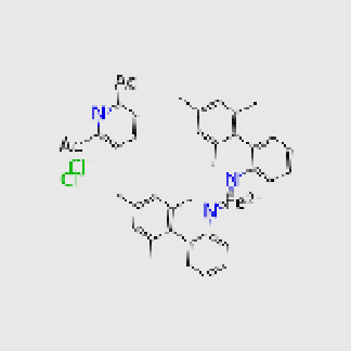 CC(=O)c1cccc(C(C)=O)n1.Cc1cc(C)c(-c2ccccc2[N]=[Fe+2]=[N]c2ccccc2-c2c(C)cc(C)cc2C)c(C)c1.[Cl-].[Cl-]